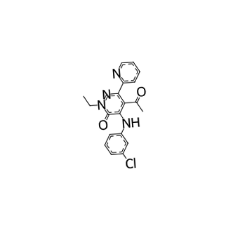 CCn1nc(-c2ccccn2)c(C(C)=O)c(Nc2cccc(Cl)c2)c1=O